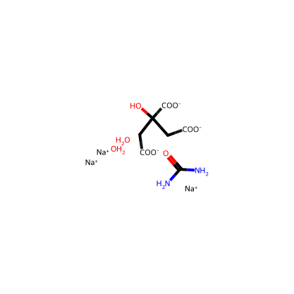 NC(N)=O.O.O.O=C([O-])CC(O)(CC(=O)[O-])C(=O)[O-].[Na+].[Na+].[Na+]